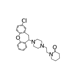 O=C1CCCCN1CCN1CCN(C2Cc3cc(Cl)ccc3Oc3ccccc32)CC1